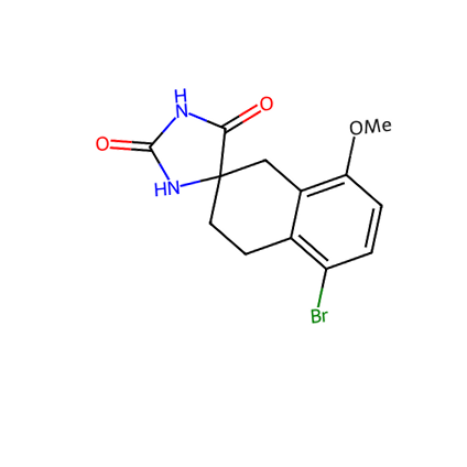 COc1ccc(Br)c2c1CC1(CC2)NC(=O)NC1=O